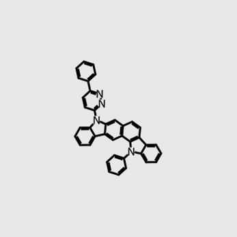 c1ccc(-c2ccc(-n3c4ccccc4c4cc5c(ccc6c7ccccc7n(-c7ccccc7)c56)cc43)nn2)cc1